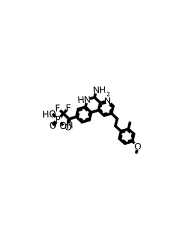 COc1ccc(CCc2cnc3c(c2)-c2ccc(C(=O)C(F)(F)P(=O)(O)O)cc2NC3N)c(C)c1